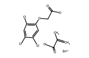 C=C(C)C(=O)[O-].O=C([O-])COc1cc(Cl)c(Cl)cc1Cl.[Zn+2]